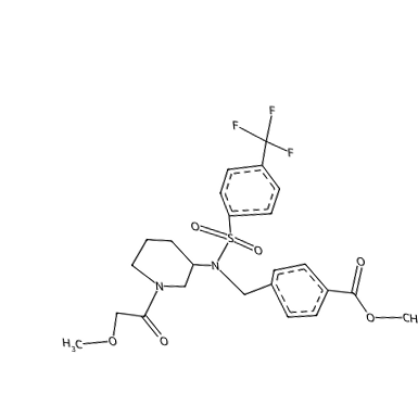 COCC(=O)N1CCCC(N(Cc2ccc(C(=O)OC)cc2)S(=O)(=O)c2ccc(C(F)(F)F)cc2)C1